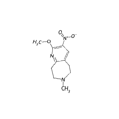 COc1nc2c(cc1[N+](=O)[O-])CCN(C)CC2